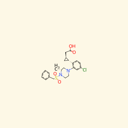 C[C@@H]1CN(c2cc(Cl)ccc2[C@@H]2C[C@H]2CC(=O)O)CCN1S(=O)(=O)Cc1ccccc1